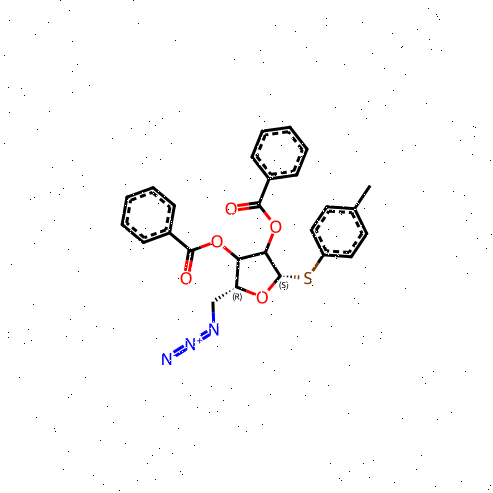 Cc1ccc(S[C@@H]2O[C@H](CN=[N+]=[N-])C(OC(=O)c3ccccc3)C2OC(=O)c2ccccc2)cc1